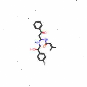 CC(C)=CC(=O)NC(CC(=O)c1ccccc1)NCC(O)c1ccc(F)cc1